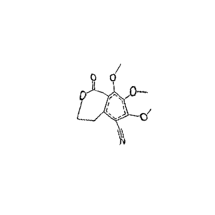 COc1c(C#N)c2c(c(OC)c1OC)C(=O)OCC2